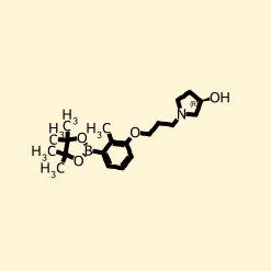 Cc1c(OCCCN2CC[C@@H](O)C2)cccc1B1OC(C)(C)C(C)(C)O1